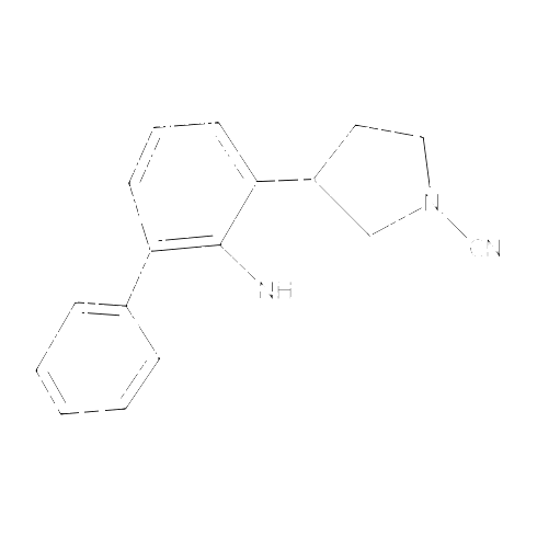 N#CN1CCC(c2cccc(-c3ccccc3)c2N)C1